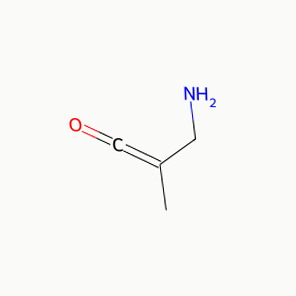 CC(=C=O)CN